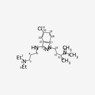 CCN(CC)CCCNc1nn(CCC(C)N(C)C)c2ccc(Cl)cc12